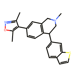 Cc1noc(C)c1-c1ccc2c(c1)CN(C)CC2c1ccc2ccsc2c1